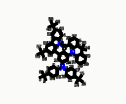 CC(C)(C)c1ccc(N(c2ccc(C(C)(C)C)cc2)c2cc3c4c(c2)N2c5ccccc5C(C)(C)c5cccc(c52)B4n2c4ccc(C(C)(C)C)cc4c4cc(C(C)(C)C)cc-3c42)cc1